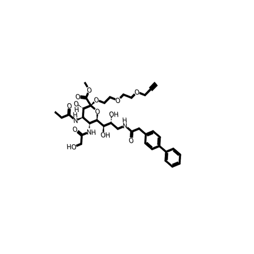 C#CCOCCOCCO[C@@]1(C(=O)OC)O[C@@H]([C@H](O)[C@H](O)CNC(=O)Cc2ccc(-c3ccccc3)cc2)[C@H](NC(=O)CO)[C@@H](NC(=O)CC)[C@@H]1O